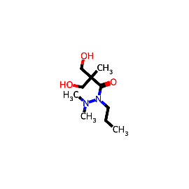 CCCN(C(=O)C(C)(CO)CO)N(C)C